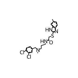 Cc1ccc2nc(SCC(=O)NCCCN(C)Cc3ccc(Cl)c(Cl)c3)[nH]c2c1